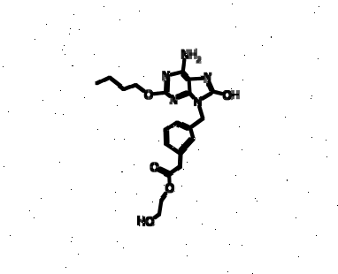 CCCCOc1nc(N)c2nc(O)n(Cc3cccc(CC(=O)OCCO)c3)c2n1